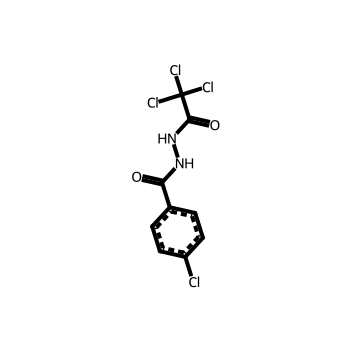 O=C(NNC(=O)C(Cl)(Cl)Cl)c1ccc(Cl)cc1